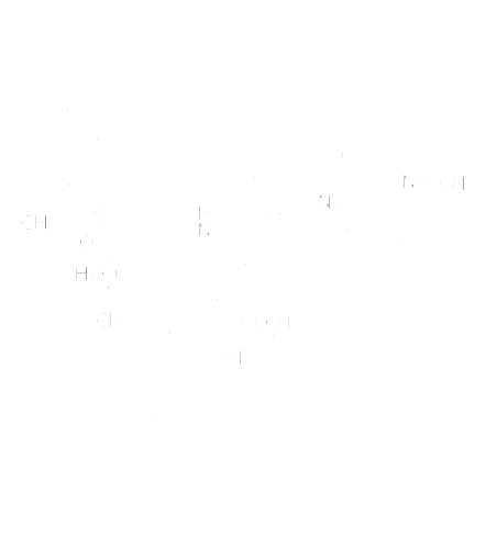 Cc1ccccc1[S+]([O-])CC1=C(C(=O)O)C(c2c(Cl)cccc2Cl)C(C(=O)O)=C(CC(=O)N2CCN(C)CC2)N1